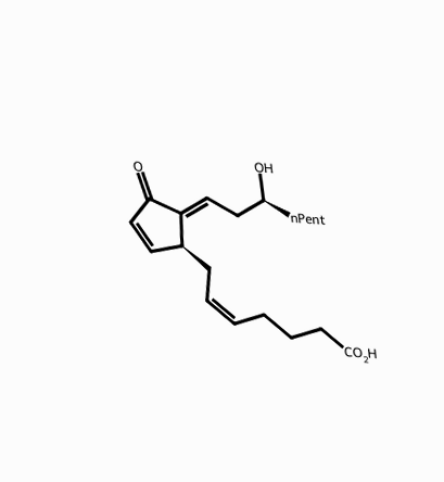 CCCCC[C@H](O)C/C=C1/C(=O)C=C[C@@H]1C/C=C\CCCC(=O)O